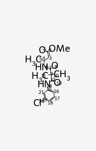 COC(=O)CC(C)NC(=O)C(C)(C)C(=O)Nc1cccc(Cl)c1